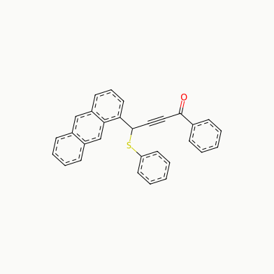 O=C(C#CC(Sc1ccccc1)c1cccc2cc3ccccc3cc12)c1ccccc1